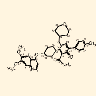 COc1cc2nccc(O[C@H]3CC[C@H](c4c(C(N)=O)c(=O)c(-c5ccc(C)cc5)cn4CC4CCOCC4)CC3)c2cc1OC